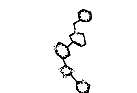 C1=C(c2cncc(-c3nc(-c4ccccn4)no3)c2)CN(Cc2ccccc2)CC1